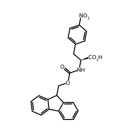 O=C(N[C@@H](Cc1ccc([N+](=O)[O-])cc1)C(=O)O)OCC1c2ccccc2-c2ccccc21